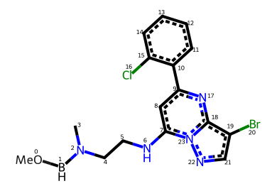 COBN(C)CCNc1cc(-c2ccccc2Cl)nc2c(Br)cnn12